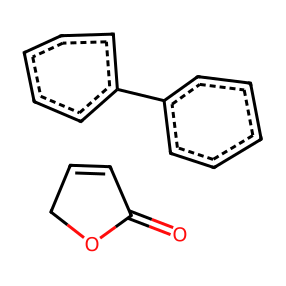 O=C1C=CCO1.c1ccc(-c2ccccc2)cc1